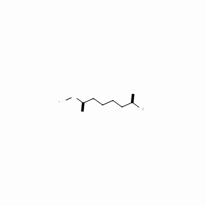 CCCCOC(=O)CCCCC(N)=O